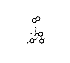 Cc1ccccc1-c1cccc2c(CCCOc3cccc4ccccc34)c(OC(=O)O)n(Cc3ccc(C(=O)O)cc3)c12